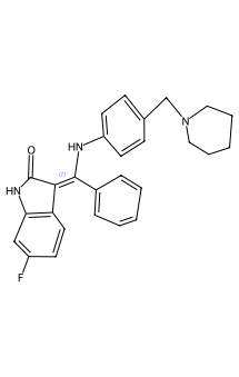 O=C1Nc2cc(F)ccc2/C1=C(/Nc1ccc(CN2CCCCC2)cc1)c1ccccc1